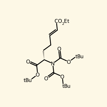 CCOC(=O)/C=C/CC[C@@H](C(=O)OC(C)(C)C)N(C(=O)OC(C)(C)C)C(=O)OC(C)(C)C